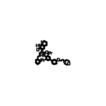 CC(C)c1cc(-c2cccc(OCCN3CCOCC3)c2)cc(C(C)C)c1NC(=O)N(CCCc1ccccc1)c1cc2cccnc2[nH]c1=O